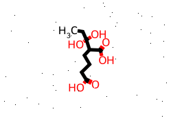 CCC(O)(O)C(CCCC(=O)O)C(=O)O